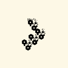 Cc1ccccc1N(C(=S)[S-])c1ccccc1C.Cc1ccccc1N(C(=S)[S-])c1ccccc1C.Cc1ccccc1N(C(=S)[S-])c1ccccc1C.Cc1ccccc1N(C(=S)[S-])c1ccccc1C.[Mo+4]